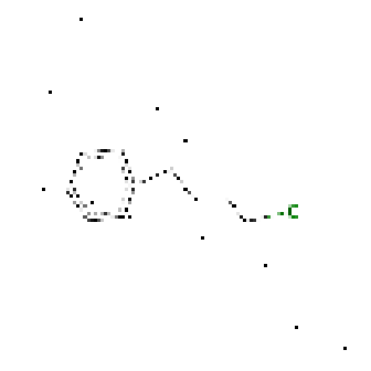 ClCCCCc1[c]cccc1